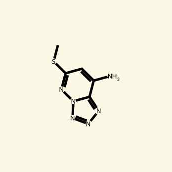 CSc1cc(N)c2nnnn2n1